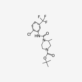 CC1CN(C(=O)OC(C)(C)C)CCN1C(=O)Nc1cc(C(F)(F)F)ccc1Cl